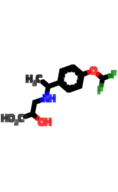 CC(NCC(O)C(=O)O)c1ccc(OC(F)F)cc1